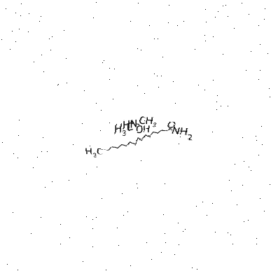 CCCCCCCCCCCCCCCCCC(N)=O.CNC(C)O